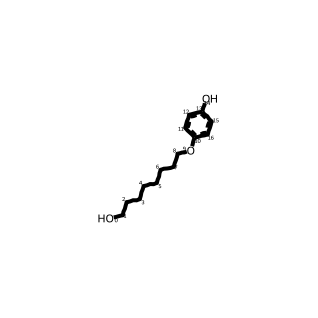 OCCCCCCCCOc1ccc(O)cc1